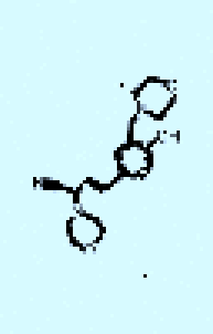 N#CC(C=Cc1ccc(O)c(CN2CCOCC2)c1)N1CCOCC1